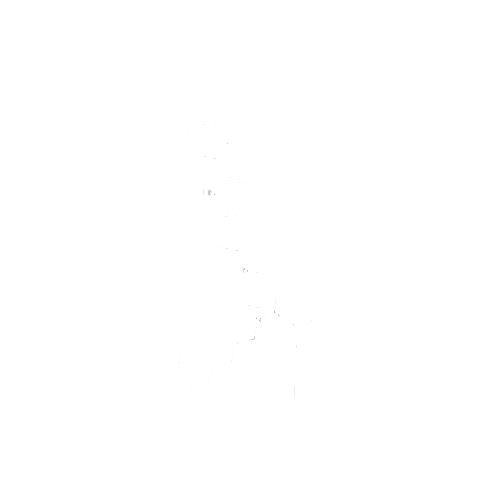 O=C(Nc1ccc(N2CC3CC(C2)N(C(=O)OCc2ccccc2)N3C(=O)OCc2ccccc2)cc1)c1ccccc1